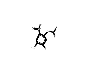 Cc1cc([N+](=O)[O-])c(OC(F)F)cc1F